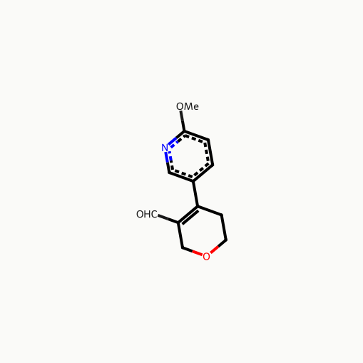 COc1ccc(C2=C(C=O)COCC2)cn1